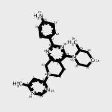 Cc1cc(N2CCc3c(nc(-c4ccc(N)cc4)nc3N3CCOCC3C)C2)ncn1